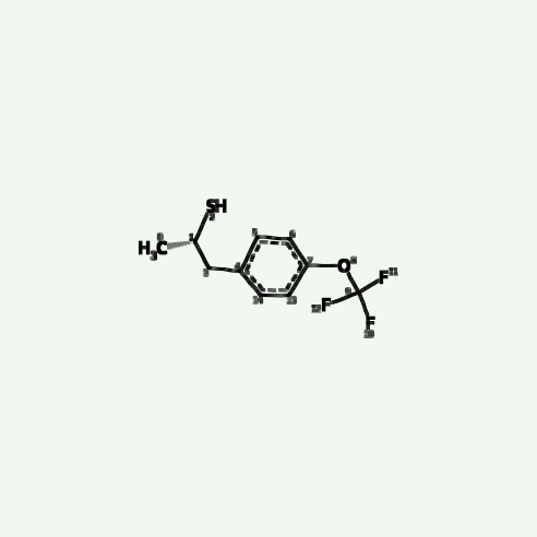 C[C@H](S)Cc1ccc(OC(F)(F)F)cc1